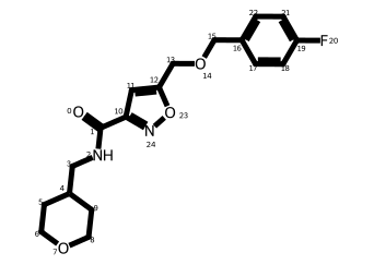 O=C(NCC1CCOCC1)c1cc(COCc2ccc(F)cc2)on1